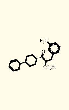 CCOC(=O)C(Cc1cccc(C(F)(F)F)c1)C(=O)[C@H]1CC[C@H](C2C=CC=CC2)CC1